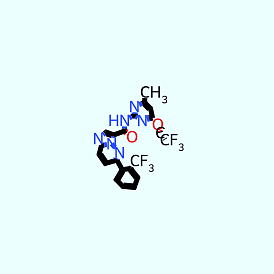 Cc1cc(OCC(F)(F)F)nc(NC(=O)c2cnc3ccc(-c4ccccc4C(F)(F)F)nn23)n1